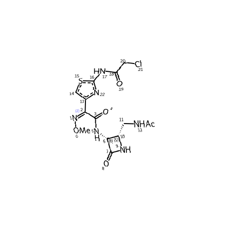 CO/N=C(\C(=O)N[C@H]1C(=O)N[C@H]1CNC(C)=O)c1csc(NC(=O)CCl)n1